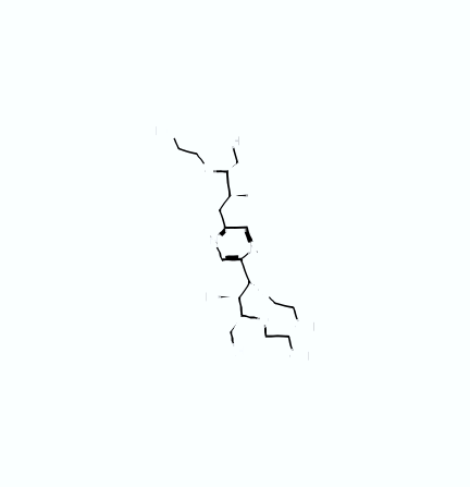 OCCO[C@@H](CO)[C@@H](O)[C@@H](OCCO)c1cnc(C[C@H](O)[C@H](CO)OCCO)cn1